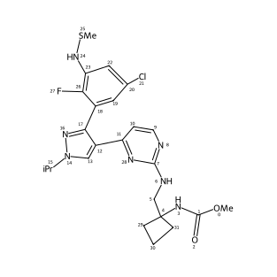 COC(=O)NC1(CNc2nccc(-c3cn(C(C)C)nc3-c3cc(Cl)cc(NSC)c3F)n2)CCC1